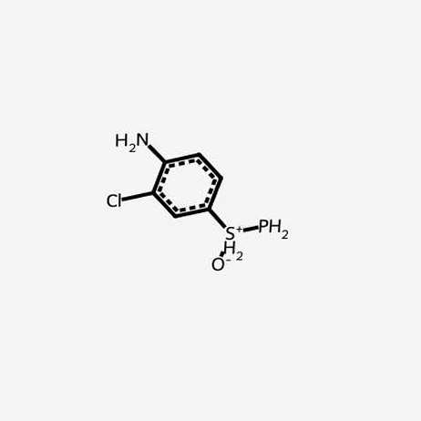 Nc1ccc([SH2+]([O-])P)cc1Cl